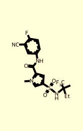 CCC(C)(NS(=O)(=O)c1cc(C(=O)Nc2ccc(F)c(C#N)c2)n(C)c1)C(F)(F)F